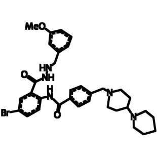 COc1cccc(CNNC(=O)c2cc(Br)ccc2NC(=O)c2ccc(CN3CCC(N4CCCCC4)CC3)cc2)c1